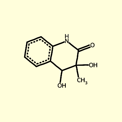 CC1(O)C(=O)Nc2ccccc2C1O